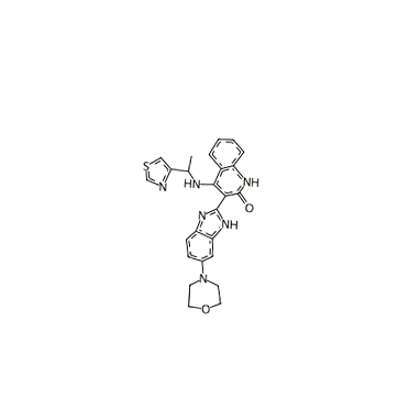 CC(Nc1c(-c2nc3ccc(N4CCOCC4)cc3[nH]2)c(=O)[nH]c2ccccc12)c1cscn1